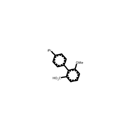 COc1cccc(C(=O)O)c1-c1ccc(C(C)C)cc1